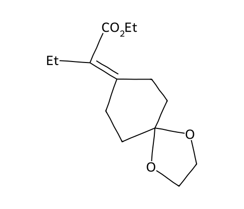 CCOC(=O)C(CC)=C1CCC2(CC1)OCCO2